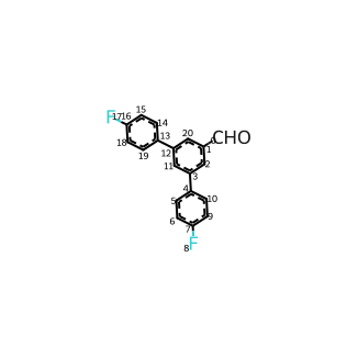 O=Cc1cc(-c2ccc(F)cc2)cc(-c2ccc(F)cc2)c1